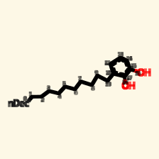 CCCCCCCCCCCCCCCCCCCCc1cccc(O)c1O